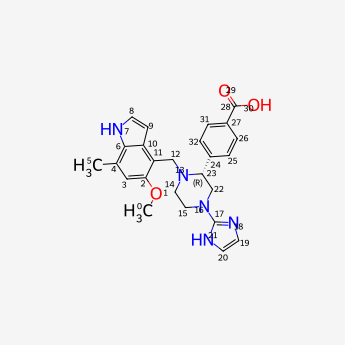 COc1cc(C)c2[nH]ccc2c1CN1CCN(c2ncc[nH]2)C[C@H]1c1ccc(C(=O)O)cc1